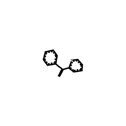 [CH]=C(c1ccccc1)c1ccccn1